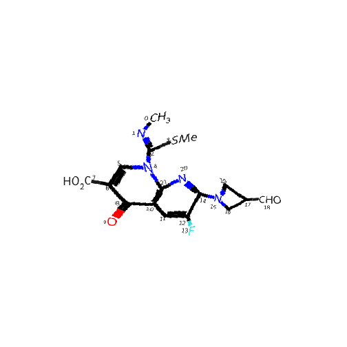 C/N=C(\SC)n1cc(C(=O)O)c(=O)c2cc(F)c(N3CC(C=O)C3)nc21